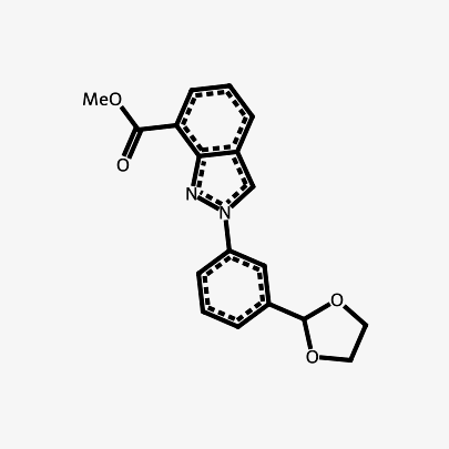 COC(=O)c1cccc2cn(-c3cccc(C4OCCO4)c3)nc12